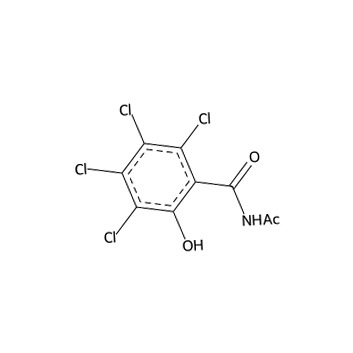 CC(=O)NC(=O)c1c(O)c(Cl)c(Cl)c(Cl)c1Cl